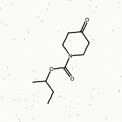 CCC(C)OC(=O)N1CCC(=O)CC1